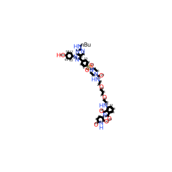 CCCCNc1ncc2c(-c3ccc(S(=O)(=O)N4CCN(C(=O)NCCOCCCOCCNc5cccc6c5C(=O)N(C5CCC(=O)NC5=O)C6=O)CC4)cc3)nn([C@H]3CC[C@H](O)CC3)c2n1